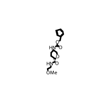 COCCNC(=O)[C@@H]1CC[C@@H](NC(=O)OCc2ccccc2)CO1